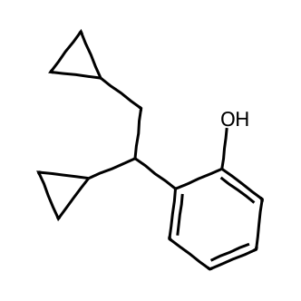 Oc1ccccc1C(CC1CC1)C1CC1